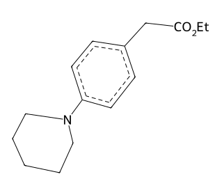 CCOC(=O)Cc1ccc(N2CCCCC2)cc1